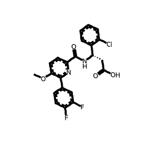 COc1ccc(C(=O)N[C@@H](CC(=O)O)c2ccccc2Cl)nc1-c1ccc(F)c(F)c1